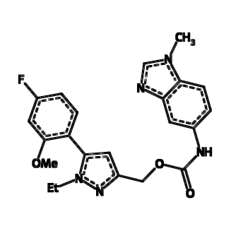 CCn1nc(COC(=O)Nc2ccc3c(c2)ncn3C)cc1-c1ccc(F)cc1OC